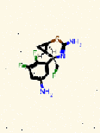 NC1=N[C@](CF)(c2cc(N)cc(F)c2F)[C@H]2C[C@H]2S1